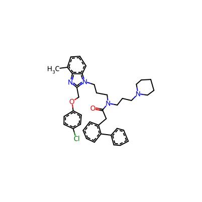 Cc1cccc2c1nc(COc1ccc(Cl)cc1)n2CCCN(CCCN1CCCCC1)C(=O)Cc1ccccc1-c1ccccc1